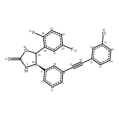 O=C1N[C@H](c2cncc(C#Cc3cccc(Cl)c3)c2)C(c2cc(F)ccc2F)O1